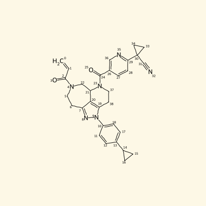 C=CC(=O)N1CCc2nn(-c3ccc(C4CC4)cc3)c3c2C(C1)N(C(=O)c1ccc(C2(C#N)CC2)nc1)CC3